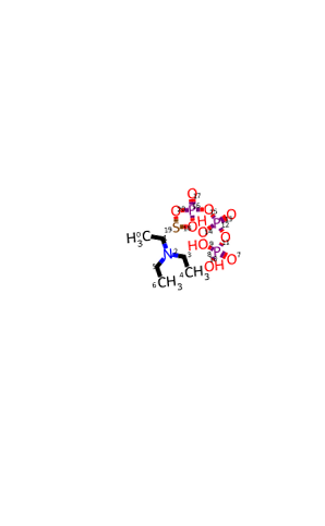 CCN(CC)CC.O=P(O)(O)OP(=O)(O)OP1(=O)OSO1